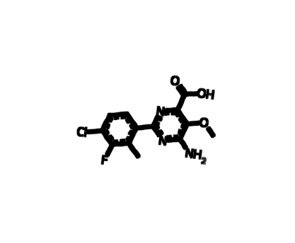 COc1c(N)nc(-c2ccc(Cl)c(F)c2C)nc1C(=O)O